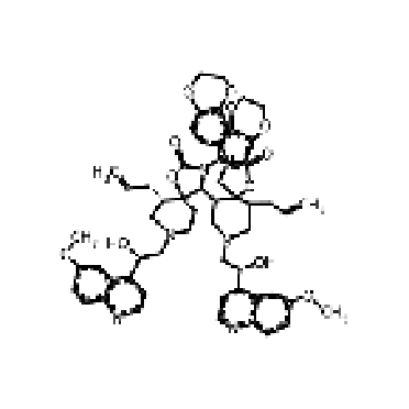 C=CCC1CN(C[C@@H](O)c2ccnc3ccc(OC)cc23)CC(C2N(c3ccc4c(c3)OCCO4)C(=O)O[C@]23CCN(C[C@H](O)c2ccnc4ccc(OC)cc24)C[C@@H]3CC=C)C12CN(c1ccc3c(c1)OCCO3)C(=O)O2